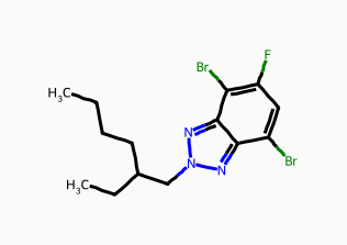 CCCCC(CC)Cn1nc2c(Br)cc(F)c(Br)c2n1